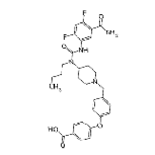 CCCCN(C(=O)Nc1cc(C(N)=O)c(F)cc1F)C1CCN(Cc2ccc(Oc3ccc(C(=O)O)cc3)cc2)CC1